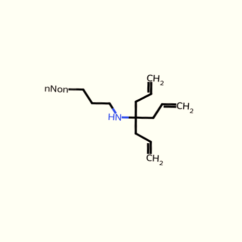 C=CCC(CC=C)(CC=C)NCCCCCCCCCCCC